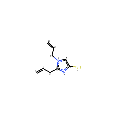 C=CCc1nc(S)cn1CC=C